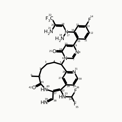 CC1CCCC(n2cnc(-c3ccc(F)cc3N(N)/C=C(\N)C(F)(F)F)cc2=O)c2cc(ccn2)/C(NC(F)F)=C(/C=N)NC1=O